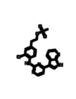 CS(=O)(=O)OCCc1ccc(Nc2nccc(-c3c[nH]c4ncccc34)n2)c(Cl)c1